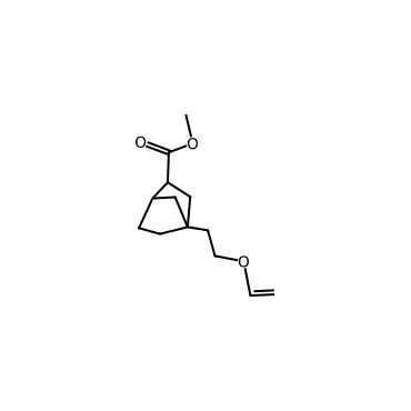 C=COCCC12CCC(C1)C(C(=O)OC)C2